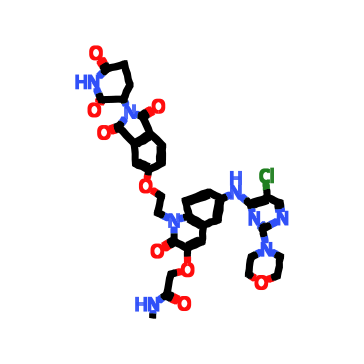 CNC(=O)COc1cc2cc(Nc3nc(N4CCOCC4)ncc3Cl)ccc2n(CCOc2ccc3c(c2)C(=O)N(C2CCC(=O)NC2=O)C3=O)c1=O